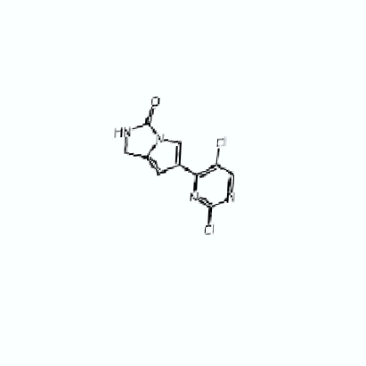 O=C1NCc2cc(-c3nc(Cl)ncc3Cl)cn21